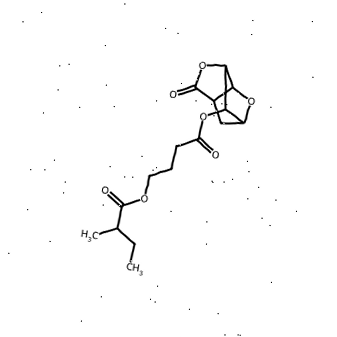 CCC(C)C(=O)OCCCC(=O)OC1C2CC3C(=O)OC1C3O2